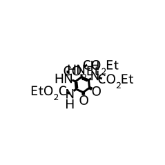 CCOC(=O)NC1=C(NC(=O)OCC)C(NC(=O)OCC)=C(NC(=O)OCC)C(=O)C1=O